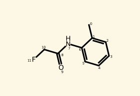 Cc1ccccc1NC(=O)CF